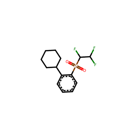 O=S(=O)(c1ccccc1C1CCCCC1)C(F)C(F)F